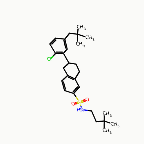 CC(C)(C)CCNS(=O)(=O)c1ccc2c(c1)CCC(c1cc(CC(C)(C)C)ccc1Cl)C2